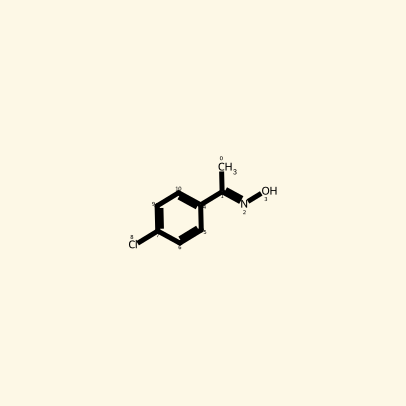 C/C(=N\O)c1ccc(Cl)cc1